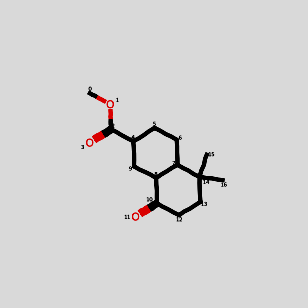 COC(=O)C1CCC2C(C1)C(=O)CCC2(C)C